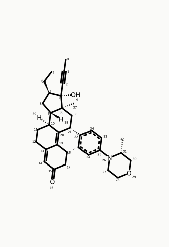 CC#C[C@]1(O)[C@H](CC)C[C@H]2[C@@H]3CCC4=CC(=O)CCC4=C3[C@@H](c3ccc(N4CCOC[C@H]4C)cc3)C[C@@]21C